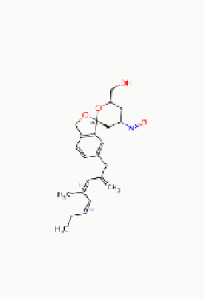 C=C(/C=C(C)\C=C/CC)Cc1ccc2c(c1)[C@]1(CC(N=O)CC(CO)O1)OC2